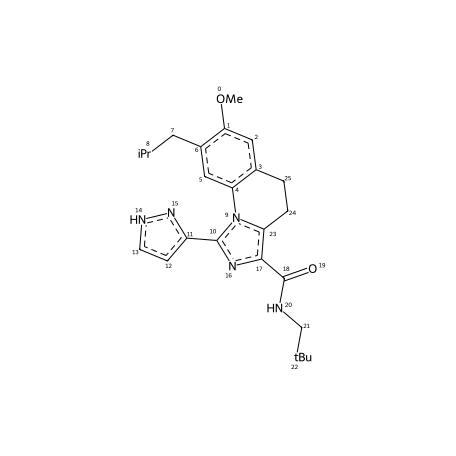 COc1cc2c(cc1CC(C)C)-n1c(-c3cc[nH]n3)nc(C(=O)NCC(C)(C)C)c1CC2